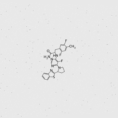 Cc1cc(F)c(CC(Nc2ncnc(N3CCCC3c3nc4ccccc4s3)c2F)C(N)=O)cc1F